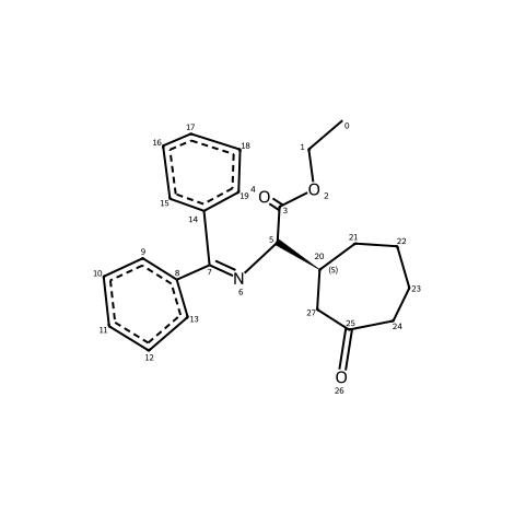 CCOC(=O)C(N=C(c1ccccc1)c1ccccc1)[C@H]1CCCCC(=O)C1